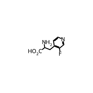 NC(Cc1ccncc1F)C(=O)O